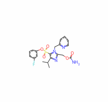 CC(C)c1nc(COC(N)=O)n(Cc2ccccn2)c1S(=O)(=O)Oc1cccc(F)c1